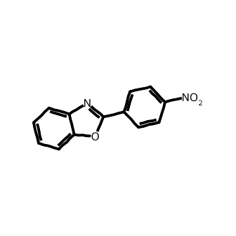 O=[N+]([O-])c1ccc(-c2nc3ccccc3o2)cc1